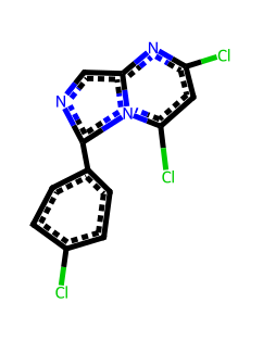 Clc1ccc(-c2ncc3nc(Cl)cc(Cl)n23)cc1